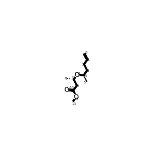 C=CCC[C@@H](C)O[C@@H](C)CC(=O)OC